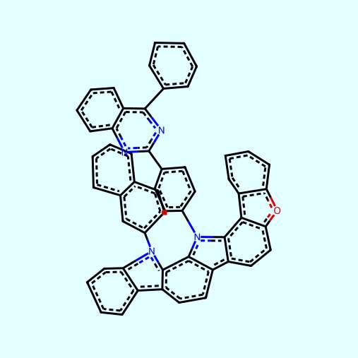 c1ccc(-c2nc(-c3ccc(-n4c5c(ccc6oc7ccccc7c65)c5ccc6c7ccccc7n(-c7ccc8ccccc8c7)c6c54)cc3)nc3ccccc23)cc1